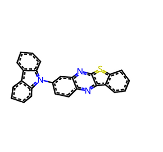 c1ccc2c(c1)sc1nc3cc(-n4c5ccccc5c5ccccc54)ccc3nc12